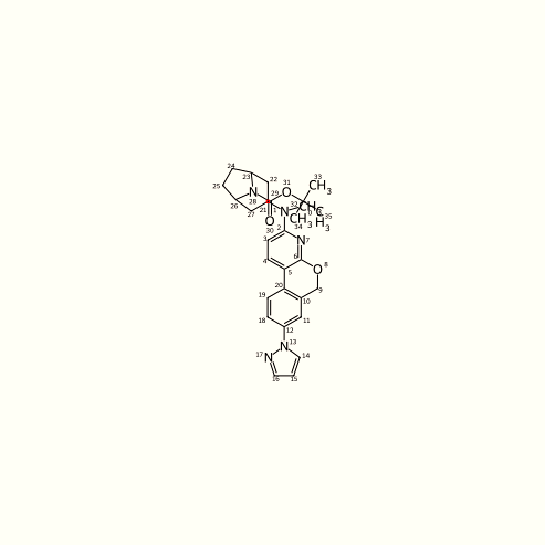 CN(c1ccc2c(n1)OCc1cc(-n3cccn3)ccc1-2)C1CC2CCC(C1)N2C(=O)OC(C)(C)C